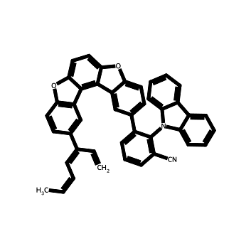 C=C/C(=C\C=C/C)c1ccc2oc3ccc4oc5ccc(-c6cccc(C#N)c6-n6c7ccccc7c7ccccc76)cc5c4c3c2c1